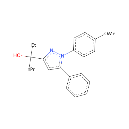 CCCC(O)(CC)c1cc(-c2ccccc2)n(-c2ccc(OC)cc2)n1